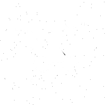 C=CC(=O)N1Cc2sc(C)cc2[C@@H](c2ccccc2-c2cncc(Cl)c2)C1